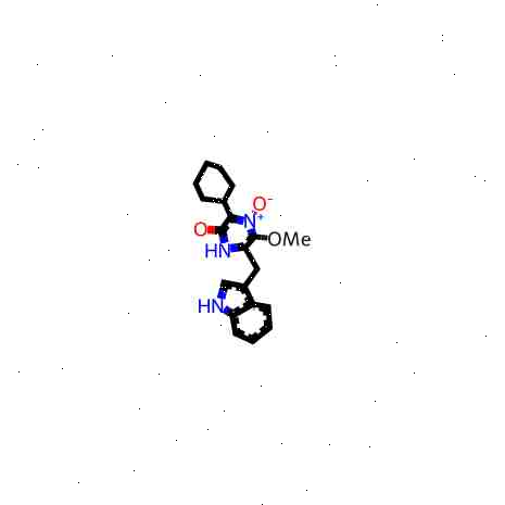 COc1c(Cc2c[nH]c3ccccc23)[nH]c(=O)c(C2CCCCC2)[n+]1[O-]